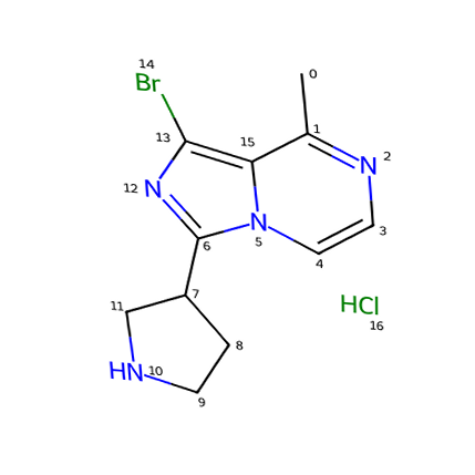 Cc1nccn2c(C3CCNC3)nc(Br)c12.Cl